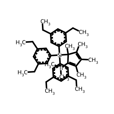 CCc1cc(CC)cc([Si](c2cc(CC)cc(CC)c2)(c2cc(CC)cc(CC)c2)C2(C)C(C)=C(C)C(C)=[C]2[Ti]([CH3])[CH3])c1